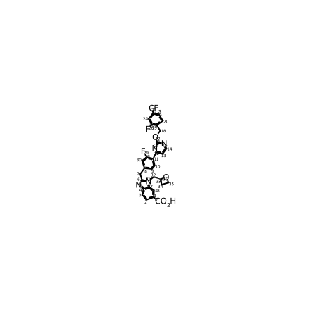 O=C(O)c1ccc2nc(Cc3ccc(-c4ccnc(OCc5ccc(C(F)(F)F)cc5F)n4)c(F)c3)n(C[C@@H]3CCO3)c2c1